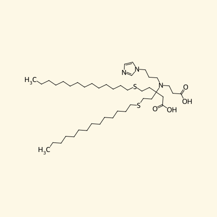 CCCCCCCCCCCCCCSCCC(CCSCCCCCCCCCCCCCC)(CC(=O)O)N(CCCn1ccnc1)CCC(=O)O